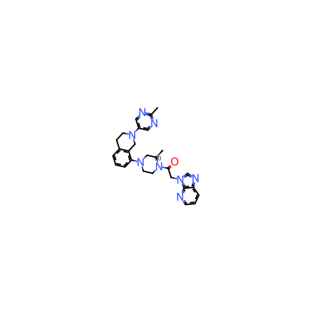 Cc1ncc(N2CCc3cccc(N4CCN(C(=O)Cn5cnc6cccnc65)[C@H](C)C4)c3C2)cn1